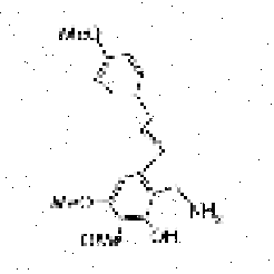 COc1ccc(C/C=C/c2cc(OC)c(OC)c(O)c2CN)cc1